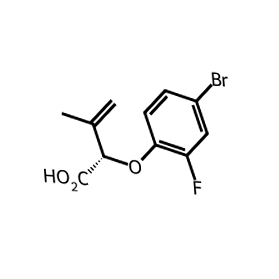 C=C(C)[C@H](Oc1ccc(Br)cc1F)C(=O)O